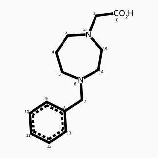 O=C(O)CN1CCCN(Cc2ccccc2)CC1